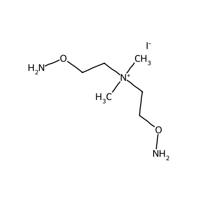 C[N+](C)(CCON)CCON.[I-]